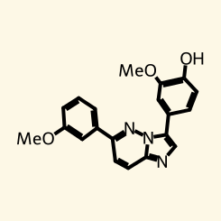 COc1cccc(-c2ccc3ncc(-c4ccc(O)c(OC)c4)n3n2)c1